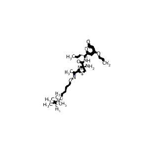 C=CCOc1cc([C@@H](CCC)NC(=O)[C@]2(N)CSC(/C(C)=N/OCCCCO[Si](C)(C)C(C)(C)C)=N2)oc(=O)c1